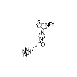 CCN1C=C(N2CCN(C(=O)CCCCn3cnnn3)CC2)c2ccsc2C1